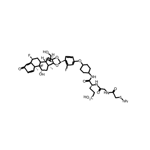 CCCSCC(=O)NCC(=O)N[C@@H](CCC(=O)O)C(=O)NC1CCC(Oc2ccc([C@@H]3O[C@@H]4C[C@H]5C6C[C@H](F)C7=CC(=O)C=C[C@]7(C)[C@@]6(F)[C@@H](O)C[C@]5(C)[C@]4(C(=O)CO)O3)c(F)c2)CC1